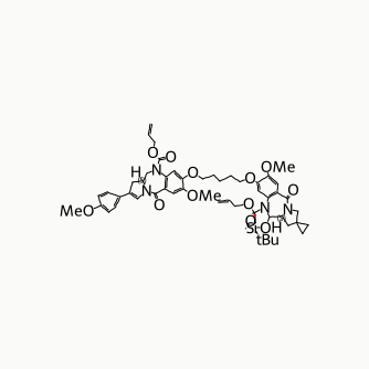 C=CCOC(=O)N1C[C@@H]2CC(c3ccc(OC)cc3)=CN2C(=O)c2cc(OC)c(OCCCCCOc3cc4c(cc3OC)C(=O)N3CC5(CC5)C[C@H]3C(O[Si](C)(C)C(C)(C)C)N4C(=O)OCC=C)cc21